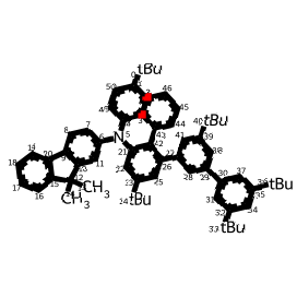 CC(C)(C)c1ccc(N(c2ccc3c(c2)C(C)(C)c2ccccc2-3)c2cc(C(C)(C)C)cc(-c3cc(-c4cc(C(C)(C)C)cc(C(C)(C)C)c4)cc(C(C)(C)C)c3)c2-c2ccccc2)cc1